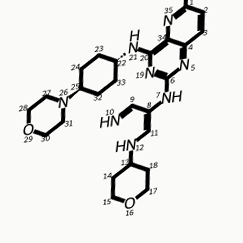 Cc1ccc2nc(N/C(C=N)=C/NC3CCOCC3)nc(N[C@H]3CC[C@H](N4CCOCC4)CC3)c2n1